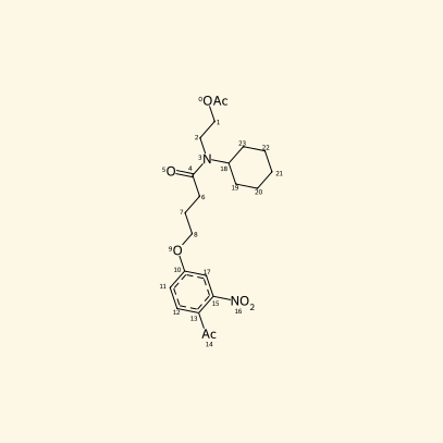 CC(=O)OCCN(C(=O)CCCOc1ccc(C(C)=O)c([N+](=O)[O-])c1)C1CCCCC1